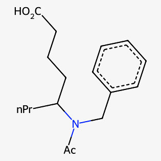 CCCC(CCCC(=O)O)N(Cc1ccccc1)C(C)=O